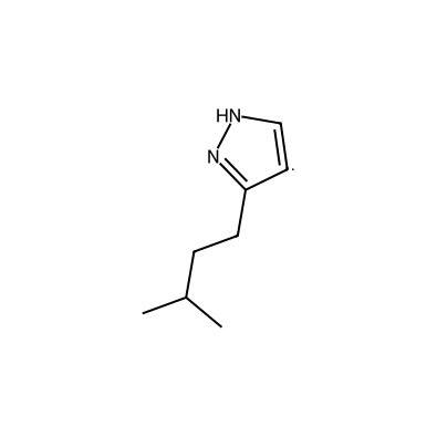 CC(C)CCc1[c]c[nH]n1